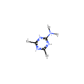 CCc1nc(CC)nc(N(CC)CC)n1